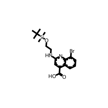 CC(C)(C)[Si](C)(C)OCCNc1cc(C(=O)O)c2cccc(Br)c2n1